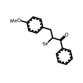 COc1ccc(CC([Se])C(=O)c2ccccc2)cc1